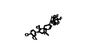 CNC[C@@H](c1ccc(Cl)c(Cl)c1)[C@@H](OC)c1cccc(NS(=O)(=O)C(F)(F)F)c1